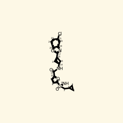 N=S(=O)(CC1CC1)c1ccc(C(=O)NC23CC(c4nc5cc(Cl)ccc5o4)(C2)C3)o1